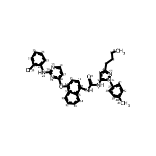 CCCCc1cc(NC(=O)Nc2ccc(Oc3ccnc(Nc4ccccc4Cl)n3)c3ccccc23)n(-c2ccc(C)cc2)n1